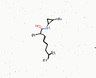 CCCCC1CC1NC(O)C(CCCCC(CC)CC)C(C)C